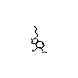 CCCCn1nnc2c(Br)c(OC)ccc21